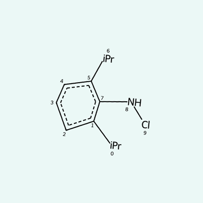 CC(C)c1cccc(C(C)C)c1NCl